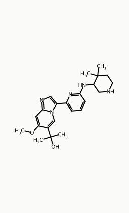 COc1cc2ncc(-c3cccc(NC4CNCCC4(C)C)n3)n2cc1C(C)(C)O